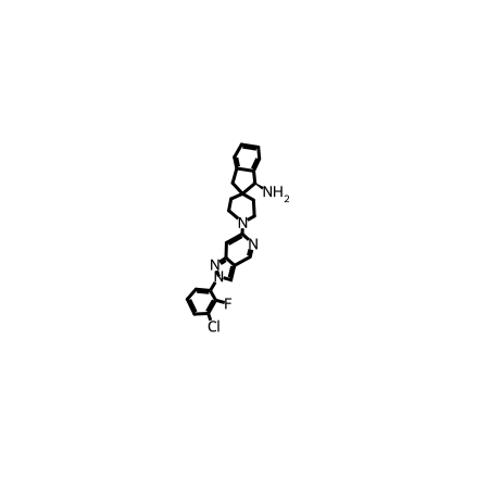 N[C@@H]1c2ccccc2CC12CCN(c1cc3nn(-c4cccc(Cl)c4F)cc3cn1)CC2